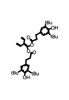 C=CC(C=C)=C(OC(=O)CCc1cc(C(C)(C)C)c(O)c(C(C)(C)C)c1)OC(=O)CCc1cc(C(C)(C)C)c(O)c(C(C)(C)C)c1